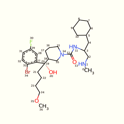 CNCC(CC1CCCCC1)NC(=O)N1CCCC([C@@](O)(CCCCOC)c2cc(F)ccc2Br)C1